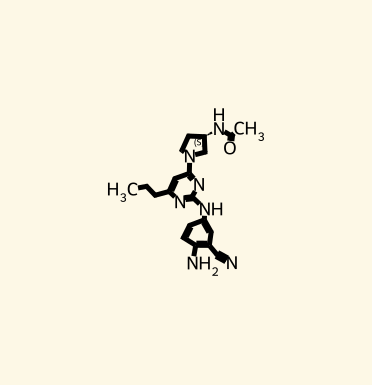 CCCc1cc(N2CC[C@H](NC(C)=O)C2)nc(Nc2ccc(N)c(C#N)c2)n1